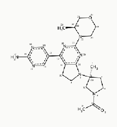 CC(=O)N1CC[C@](C)(N2CCc3c(-c4cnc(N)nc4)nc(N4CCOC[C@@H]4C)nc32)C1